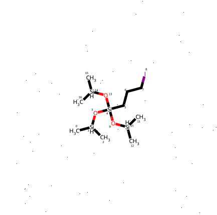 C[SiH](C)O[Si](CCCI)(O[SiH](C)C)O[SiH](C)C